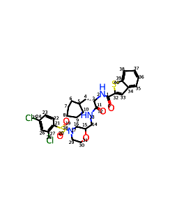 O=C(N[C@@H](CC1CCCCC1)C(=O)NCC1CN(S(=O)(=O)c2ccc(Cl)cc2Cl)CCO1)c1cc2ccccc2s1